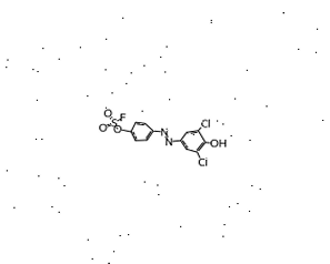 O=S(=O)(F)Oc1ccc(/N=N/c2cc(Cl)c(O)c(Cl)c2)cc1